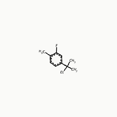 CCC(C)(C)c1ccc(C)c(F)c1